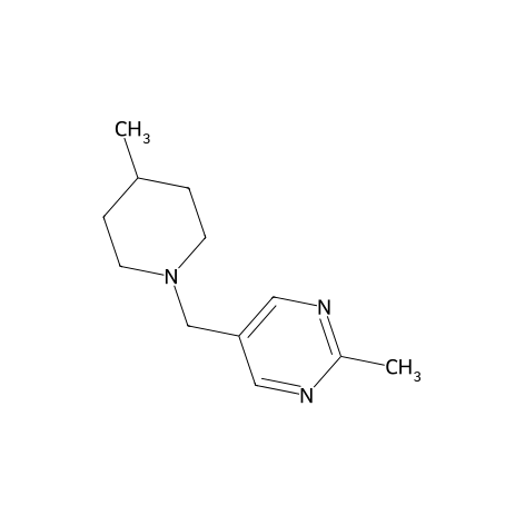 Cc1ncc(CN2CCC(C)CC2)cn1